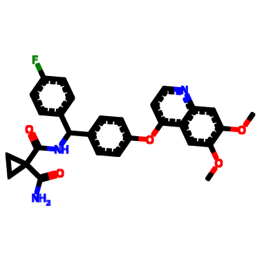 COc1cc2nccc(Oc3ccc(C(NC(=O)C4(C(N)=O)CC4)c4ccc(F)cc4)cc3)c2cc1OC